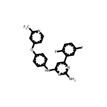 Nc1nc(Nc2ccc(Oc3ccnc(C(F)(F)F)c3)cc2)cc(-c2cc(F)ccc2F)n1